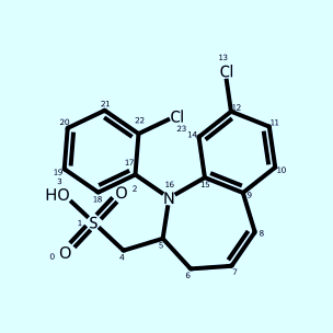 O=S(=O)(O)CC1CC=Cc2ccc(Cl)cc2N1c1ccccc1Cl